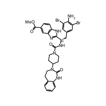 COC(=O)c1ccc2[nH]c([C@@H](Cc3cc(Br)c(N)c(Br)c3)NC(=O)N3CCC(N4CCc5ccccc5NC4=O)CC3)nc2c1